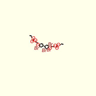 C=CCOC(=O)OCCOc1ccc(C2=CC(Br)(Br)C(OCCOC(=O)OCC=C)C(Br)=C2)cc1Br